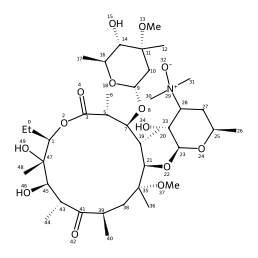 CC[C@H]1OC(=O)[C@H](C)[C@@H](O[C@H]2C[C@@](C)(OC)[C@@H](O)[C@H](C)O2)[C@H](C)[C@@H](O[C@@H]2O[C@H](C)CC([N+](C)(C)[O-])[C@H]2O)[C@](C)(OC)C[C@@H](C)C(=O)[C@H](C)[C@@H](O)[C@]1(C)O